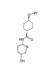 CC(C)O[C@H]1CC[C@@H](C(=O)Nc2ccc(O)cn2)CC1